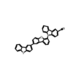 N#Cc1ccc2c(c1)c1ccccc1n2-c1cccc2c1oc1ccc(-c3ccc4sc5ccccc5c4c3)cc12